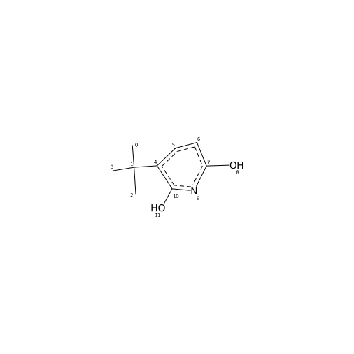 CC(C)(C)c1ccc(O)nc1O